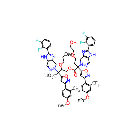 CCCOc1ccc(-c2cc(C(CCOCCO)(C(=O)OCC(OCCOC)C(C(=O)O)(c3cc(-c4ccc(OCCC)cc4C(F)(F)F)no3)N3Cc4nc(-c5cccc(F)c5F)[nH]c4C=N3)N3Cc4nc(-c5cccc(F)c5F)[nH]c4C=N3)on2)c(C(F)(F)F)c1